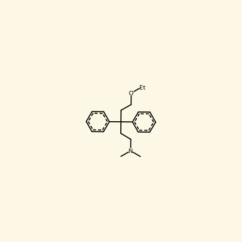 CCOCCC(CCN(C)C)(c1ccccc1)c1ccccc1